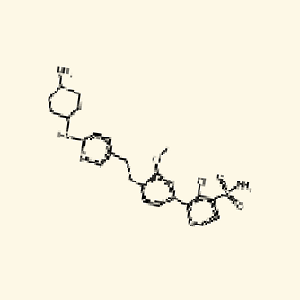 COc1nc(-c2cccc(S(N)(=O)=O)c2Cl)ccc1CCc1ccc(NC2CCC(N)CC2)nc1